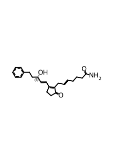 NC(=O)CCCC=CCC1=C(C=C[C@@H](O)CCc2ccccc2)CCC1=O